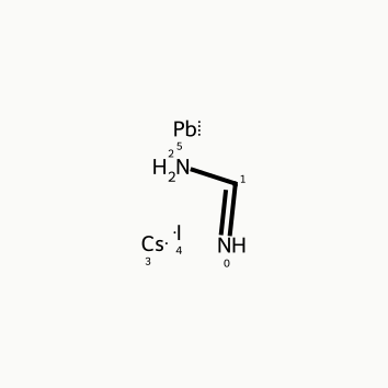 N=CN.[Cs].[I].[Pb]